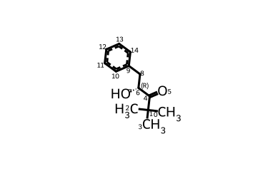 CC(C)(C)C(=O)[C@H](O)Cc1ccccc1